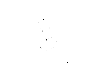 CC1CC2CCCC(CC(N)CO)(C1)C2